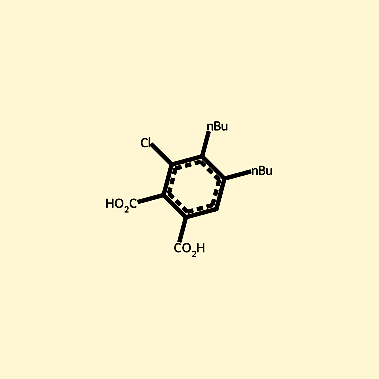 CCCCc1cc(C(=O)O)c(C(=O)O)c(Cl)c1CCCC